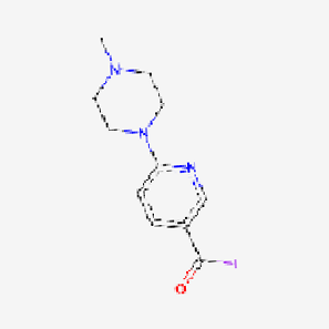 CN1CCN(c2ccc(C(=O)I)cn2)CC1